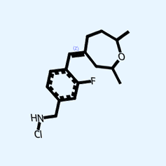 CC1CC/C(=C/c2ccc(CNCl)cc2F)CC(C)O1